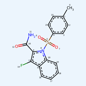 Cc1ccc(S(=O)(=O)n2c(C(N)=O)c(F)c3ccccc32)cc1